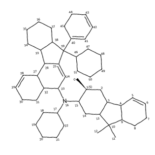 C[C@H]1CC2C3C=CCCC3C(C)(C)C2CC1N(C1CCCCC1)C1C=C2C(C3C=CCCC31)C1CCCCC1C2(C1=CC=CCC1)C1CCCCC1